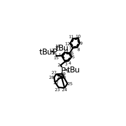 CC(C)(C)P(Cc1ccc(-c2ccccc2)cc1CP(C(C)(C)C)C(C)(C)C)C1C2CC3CC(C2)CC1C3